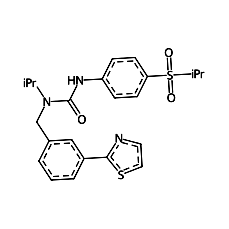 CC(C)N(Cc1cccc(-c2nccs2)c1)C(=O)Nc1ccc(S(=O)(=O)C(C)C)cc1